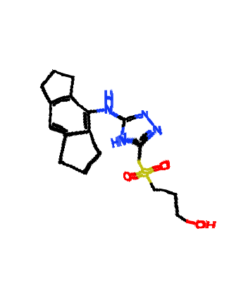 O=S(=O)(CCCO)c1nnc(Nc2c3c(cc4c2CCC4)CCC3)[nH]1